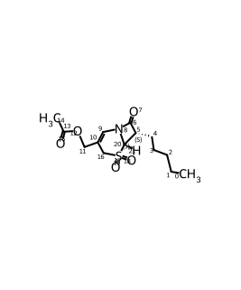 CCCCC[C@H]1C(=O)N2C=C(COC(C)=O)CS(=O)(=O)[C@@H]12